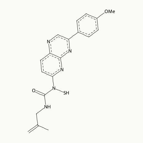 C=C(C)CNC(=O)N(S)c1ccc2ncc(-c3ccc(OC)cc3)nc2n1